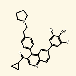 O=C(c1cnc2ccc(-c3cc(Cl)c(O)c(Cl)c3)cc2c1-c1ccc(CCN2CCCC2)cc1)C1CC1